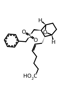 O=C(O)CCC/C=C\C[C@@H]1[C@@H](CS(=O)(=O)Cc2ccccc2)[C@@H]2CC[C@H]1O2